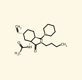 C=C[C@@H]1CC[C@@H](CN2CCCCC2)[C@@](NC(C)=O)(C(=O)NCCCC)C1